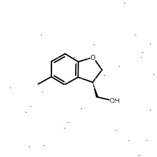 Cc1ccc2c(c1)[C@H](CO)CO2